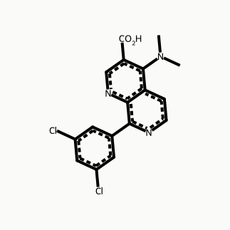 CN(C)c1c(C(=O)O)cnc2c(-c3cc(Cl)cc(Cl)c3)nccc12